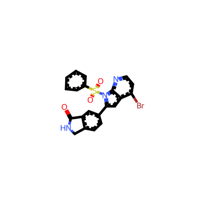 O=C1NCc2ccc(-c3cc4c(Br)ccnc4n3S(=O)(=O)c3ccccc3)cc21